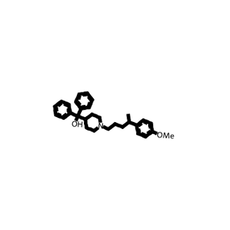 COc1ccc(C(C)CCCN2CCC(C(O)(c3ccccc3)c3ccccc3)CC2)cc1